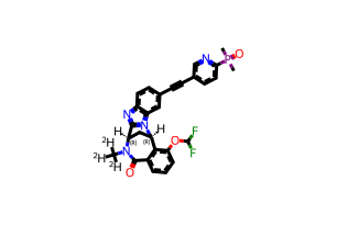 [2H]C([2H])([2H])N1C(=O)c2cccc(OC(F)F)c2[C@H]2C[C@@H]1c1nc3ccc(C#Cc4ccc(P(C)(C)=O)nc4)cc3n12